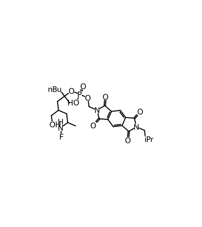 CCCCC(C)(CC(CO)CC(C)NF)OP(=O)(O)OCn1c(=O)c2cc3c(=O)n(CC(C)C)c(=O)c3cc2c1=O